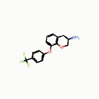 NC1COc2c(cccc2Oc2ccc(C(F)(F)F)cc2)C1